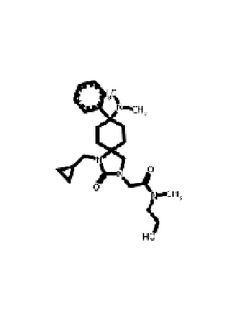 CN(CCO)C(=O)CN1CC2(CCC(c3ccccc3)(N(C)C)CC2)N(CC2CC2)C1=O